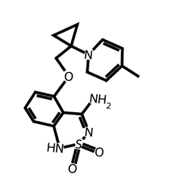 CC1=CCN(C2(COc3cccc4c3C(N)=NS(=O)(=O)N4)CC2)C=C1